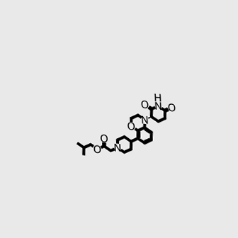 CC(C)COC(=O)CN1CCC(c2cccc3c2OCCN3[C@H]2CCC(=O)NC2=O)CC1